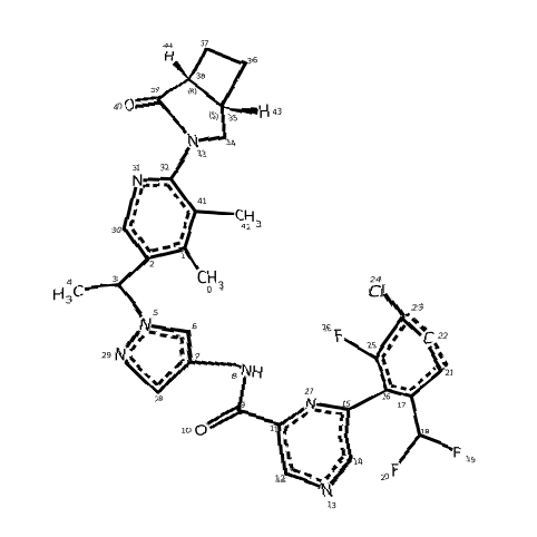 Cc1c(C(C)n2cc(NC(=O)c3cncc(-c4c(C(F)F)ccc(Cl)c4F)n3)cn2)cnc(N2C[C@H]3CC[C@H]3C2=O)c1C